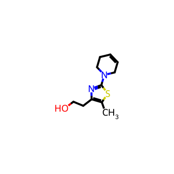 Cc1sc(N2CC=CCC2)nc1CCO